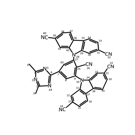 Cc1nc(C)nc(-c2cc(-n3c4cc(C#N)ccc4c4ccc(C#N)cc43)c(C#N)c(-n3c4cc(C#N)ccc4c4ccc(C#N)cc43)c2)n1